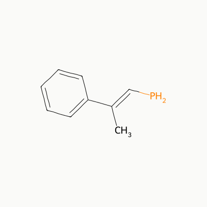 CC(=CP)c1ccccc1